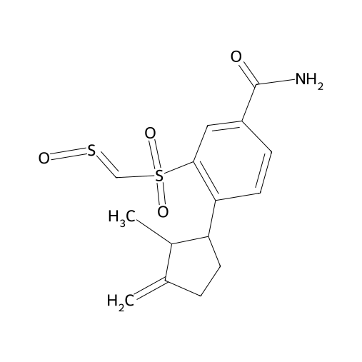 C=C1CCC(c2ccc(C(N)=O)cc2S(=O)(=O)C=S=O)C1C